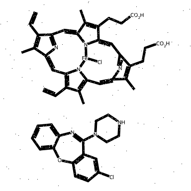 C=CC1=C(C)/C2=C/c3c(C=C)c(C)c4[n]3[Fe]([Cl])[n]3/c(c(C)c(CCC(=O)O)/c3=C/C3=NC(=C\4)/C(C)=C3CCC(=O)O)=C\C1=N2.Clc1ccc2c(c1)C(N1CCNCC1)=Nc1ccccc1O2